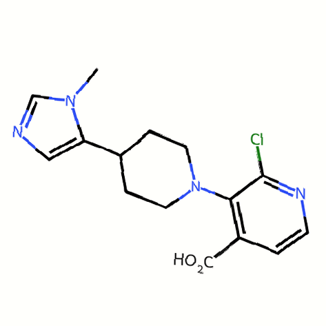 Cn1cncc1C1CCN(c2c(C(=O)O)ccnc2Cl)CC1